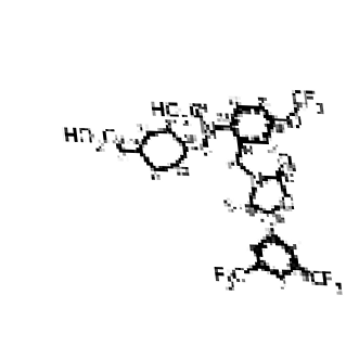 C[C@H]1[C@@H](c2cc(C(F)(F)F)cc(C(F)(F)F)c2)OC(=O)N1Cc1cc(OC(F)(F)F)ccc1N(C[C@H]1CC[C@H](CC(=O)O)CC1)C(=O)O